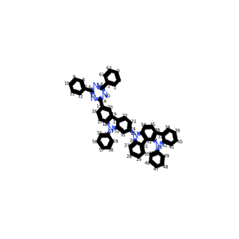 c1ccc(-c2nc(-c3ccccc3)nc(-c3ccc4c(c3)c3ccc(-n5c6ccccc6c6c5ccc5c7ccccc7n(-c7ccccc7)c56)cc3n4-c3ccccc3)n2)cc1